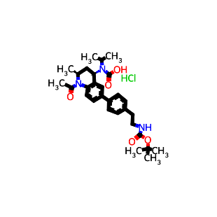 CC(=O)N1c2ccc(-c3ccc(CCNC(=O)OC(C)(C)C)cc3)cc2[C@H](N(C(=O)O)C(C)C)C[C@@H]1C.Cl